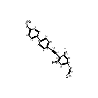 CCC(C)Cc1ccc(-c2ccc(C#Cc3c(F)cc(N=C=S)cc3F)cc2)cc1